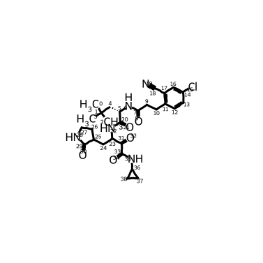 CC(C)(C)C[C@H](NC(=O)CCc1ccc(Cl)cc1C#N)C(=O)NC(CC1CCNC1=O)C(=O)C(=O)NC1CC1